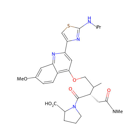 CNC(=O)C[C@H](C(=O)N1CCCC1C(=O)O)C(C)COc1cc(-c2csc(NC(C)C)n2)nc2cc(OC)ccc12